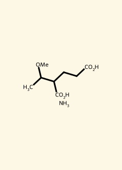 COC(C)C(CCC(=O)O)C(=O)O.N